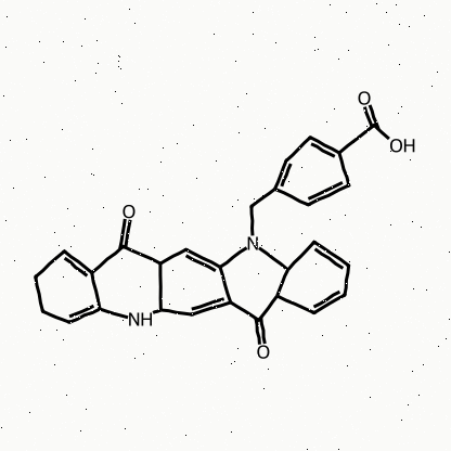 O=C(O)c1ccc(CN2C3=CC4C(=O)C5=CCCC=C5NC4C=C3C(=O)C3C=CC=CC32)cc1